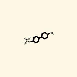 CC1CCC(C2CC=C(OS(=O)(=O)C(F)(F)F)CC2)CC1